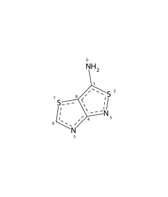 Nc1snc2ncsc12